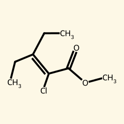 CCC(CC)=C(Cl)C(=O)OC